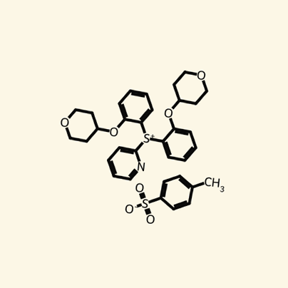 Cc1ccc(S(=O)(=O)[O-])cc1.c1ccc([S+](c2ccccc2OC2CCOCC2)c2ccccc2OC2CCOCC2)nc1